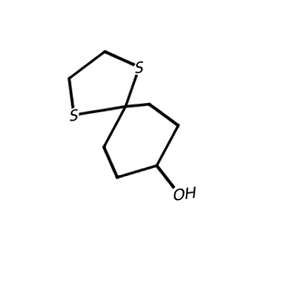 OC1CCC2(CC1)SCCS2